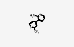 Nc1ncccc1-c1ccnc(C(F)(F)F)c1